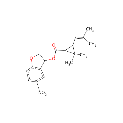 CC(C)=CC1C(C(=O)OC2COc3ccc([N+](=O)[O-])cc32)C1(C)C